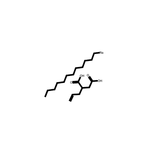 C=CCC(CC(=O)O)C(=O)O.CCCCCCCCCCC[CH2][Na]